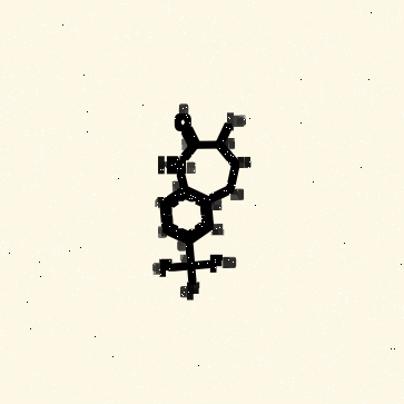 O=C1Nc2ccc(C(F)(F)F)cc2CCC1I